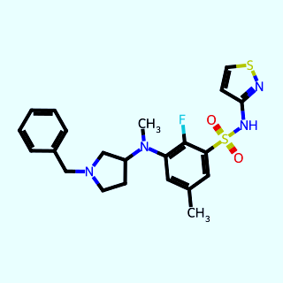 Cc1cc(N(C)C2CCN(Cc3ccccc3)C2)c(F)c(S(=O)(=O)Nc2ccsn2)c1